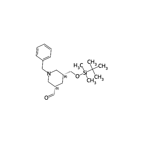 CC(C)(C)[Si](C)(C)OC[C@@H]1C[C@H](C=O)CN(Cc2ccccc2)C1